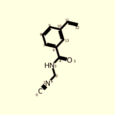 [C-]#[N+]CNC(=O)c1cccc(C=C)c1